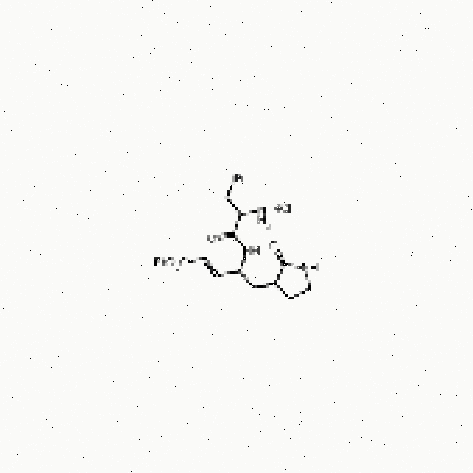 CCOC(=O)C=CC(CC1CCNC1=O)NC(=O)C(N)CC(C)C.Cl